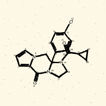 O=C1c2cccn2CC2(c3ccc(Cl)cc3)N1CCN2C(=O)C1CC1